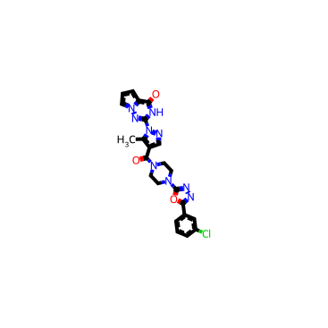 Cc1c(C(=O)N2CCN(c3nnc(-c4cccc(Cl)c4)o3)CC2)cnn1-c1nn2cccc2c(=O)[nH]1